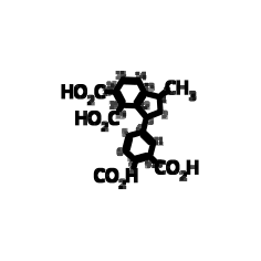 CC1CC(c2ccc(C(=O)O)c(C(=O)O)c2)c2c1ccc(C(=O)O)c2C(=O)O